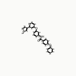 Cn1cc(-c2cc(Oc3cccc(NC(=O)c4ccc(Oc5ccccc5)cc4)c3)ccn2)cn1